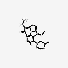 CN=c1c2c(N3CCOC(C)C3)c(F)cc3c(=O)c(BC(=O)O)c4scc1n4c32